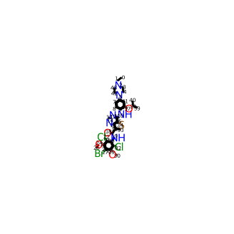 CCN1CCN(c2ccc(Nc3ncnc4c(C(=O)Nc5c(Cl)c(OC)c(Br)c(OC)c5Cl)csc34)c(OC(C)C)c2)CC1